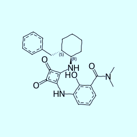 CN(C)C(=O)c1cccc(Nc2c(N[C@@H]3CCCC[C@H]3Cc3ccccc3)c(=O)c2=O)c1O